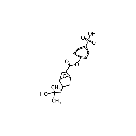 CC(C)(O)CC1CC2OC1CC2C(=O)Oc1ccc(S(=O)(=O)O)cc1